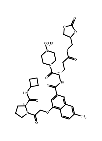 CCOC(=O)N1CCN(C(=O)[C@H](CCC(=O)OCC2COC(=O)O2)NC(=O)c2cc(OCC(=O)N3CCC[C@H]3C(=O)NC3CCC3)c3ccc(C)cc3n2)CC1